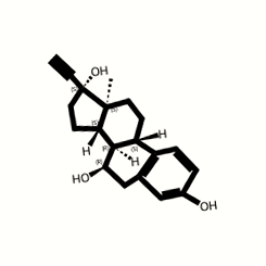 C#C[C@]1(O)CC[C@H]2[C@@H]3[C@H](O)Cc4cc(O)ccc4[C@H]3CC[C@@]21C